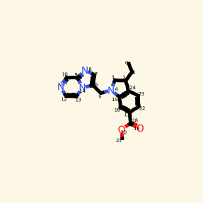 CCC1CN(Cc2cnc3cnccn23)c2cc(C(=O)OC)ccc21